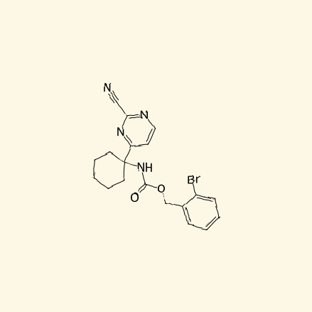 N#Cc1nccc(C2(NC(=O)OCc3ccccc3Br)CCCCC2)n1